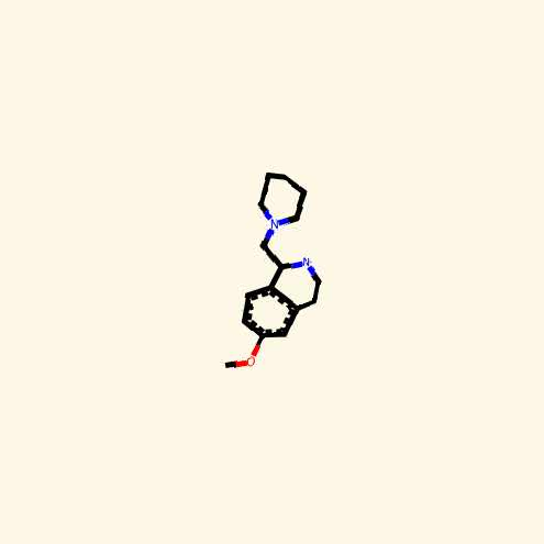 COc1ccc2c(c1)CC[N]C2CN1CCCCC1